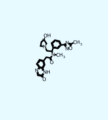 Cc1nc(-c2cccc(C(CN3CC[C@@H](O)C3)N(C)C(=O)Cc3ccc4ncc(=O)[nH]c4c3)c2)no1